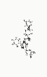 Cc1ccnc(N2CCN(C(=O)Cn3nc(-c4ccc(F)c(C)c4)nc3C3CCCCC3)CC2)c1